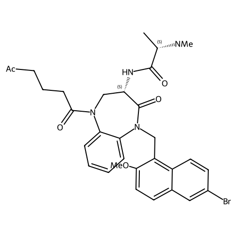 CN[C@@H](C)C(=O)N[C@H]1CN(C(=O)CCCC(C)=O)c2ccccc2N(Cc2c(OC)ccc3cc(Br)ccc23)C1=O